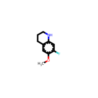 COc1cc2c(cc1F)NCCC2